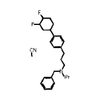 CC#N.CC(C)N(CCCc1ccc(C2CCC(F)C(F)C2)cc1)Cc1ccccc1